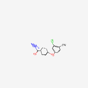 N#Cc1ccc(OC2CCC(C(N)=O)CC2)cc1Cl